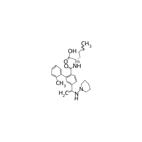 C=C(NN1CCCCC1)c1ccc(C(=O)N[C@@H](CCSC)C(=O)O)c(-c2ccccc2C)c1